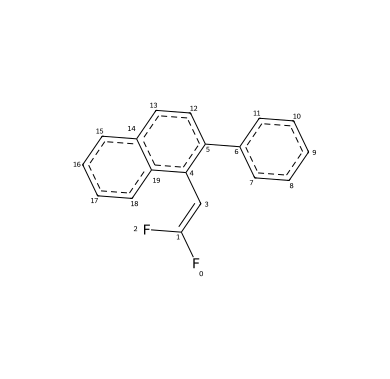 FC(F)=Cc1c(-c2ccccc2)ccc2ccccc12